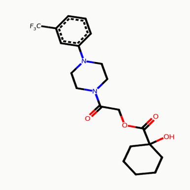 O=C(COC(=O)C1(O)CCCCC1)N1CCN(c2cccc(C(F)(F)F)c2)CC1